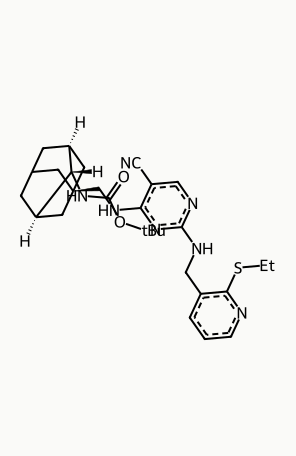 CCSc1ncccc1CNc1ncc(C#N)c(NC[C@]23CC4C[C@H](C2)[C@@H](NC(=O)OC(C)(C)C)[C@@H](C4)C3)n1